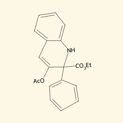 CCOC(=O)C1(c2ccccc2)Nc2ccccc2C=C1OC(C)=O